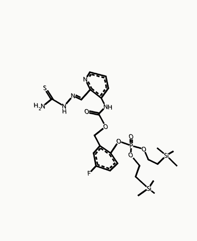 C[Si](C)(C)CCOP(=O)(OCC[Si](C)(C)C)Oc1ccc(F)cc1COC(=O)Nc1cccnc1C=NNC(N)=S